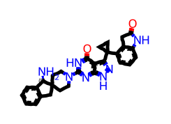 N[C@@H]1c2ccccc2CC12CCN(c1nc3[nH]nc(C4(c5cccc6c5CC(=O)N6)CC4)c3c(=O)[nH]1)CC2